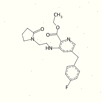 CCOC(=O)c1ncc(Cc2ccc(F)cc2)cc1NCCN1CCCC1=O